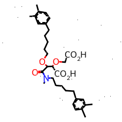 Cc1ccc(CCCCCOC(C(=O)N(C)CCCCCc2ccc(C)c(C)c2)C(OCC(=O)O)C(=O)O)cc1C